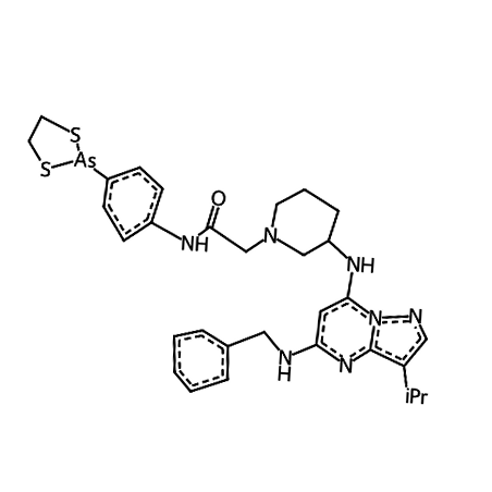 CC(C)c1cnn2c(NC3CCCN(CC(=O)Nc4ccc([As]5SCCS5)cc4)C3)cc(NCc3ccccc3)nc12